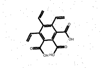 C=Cc1c(C=C)c(C(=O)O)c(C(=O)O)c(C(=O)O)c1C=C